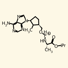 CC(C)OC(=O)[C@H](C)N[PH](=O)OC[C@@H]1CC[C@H](n2cnc3c(N)ncnc32)C1C